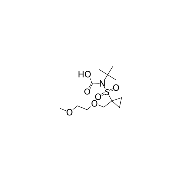 COCCOCC1(S(=O)(=O)N(C(=O)O)C(C)(C)C)CC1